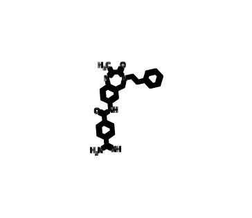 CC1=Nc2ccc(NC(=O)c3ccc(C(=N)N)cc3)cc2CN(CCc2ccccc2)C1=O